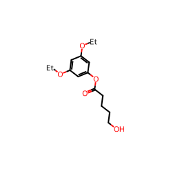 CCOc1cc(OCC)cc(OC(=O)CCCCO)c1